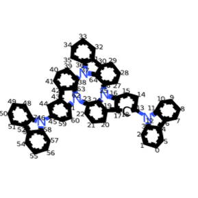 c1ccc2c(c1)c1ccccc1n2-c1ccc2c(c1)c1cccc3c1n2c1cccc2c4ccccc4n(c4cccc5c6cc(-n7c8ccccc8c8ccccc87)ccc6n3c54)c21